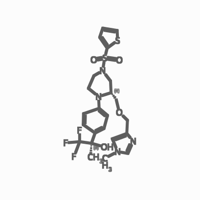 Cn1cnc(COC[C@H]2CN(S(=O)(=O)c3cccs3)CCN2c2ccc([C@@](C)(O)C(F)(F)F)cc2)c1